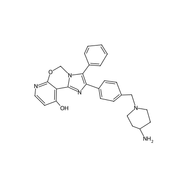 NC1CCN(Cc2ccc(-c3nc4n(c3-c3ccccc3)COc3nccc(O)c3-4)cc2)CC1